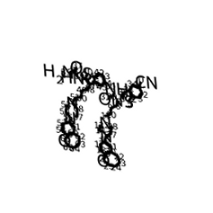 N#Cc1ccc2sc(N(CCCCN3CCN(c4ccc5c(c4)CCCCO5)CC3)C(N)=O)cc2c1.NC(=O)Nc1sc2ccccc2c1CCCCN1CCN(c2ccc3c(c2)CCCCO3)CC1